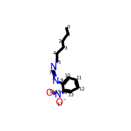 CCCCCCN=C=Nc1ccccc1[N+](=O)[O-]